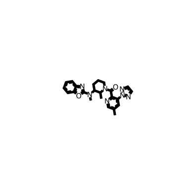 Cc1cnc(C(=O)N2CCCC(N(C)c3nc4ccccc4o3)C2C)c(-n2nccn2)c1